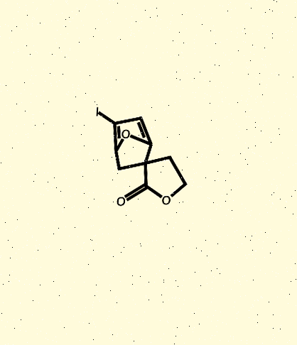 O=C1OCCC12Cc1oc2cc1I